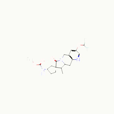 CC1C2Cc3ncc(OC(F)F)cc3CN2C(=O)[C@]12CC[C@@H](NC(=O)OC(C)(C)C)C2